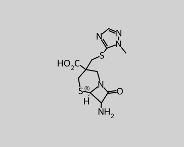 Cn1ncnc1SCC1(C(=O)O)CS[C@@H]2C(N)C(=O)N2C1